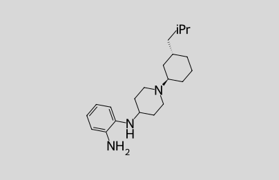 CC(C)C[C@@H]1CCC[C@@H](N2CCC(Nc3ccccc3N)CC2)C1